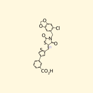 O=C(O)c1cccc(-c2csc(/C=C3\SC(=O)N(Cc4cc5c(cc4Cl)OCO5)C3=O)c2)c1